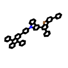 C1=C(c2ccccc2)CCc2sc3c(-c4ccc5c(c4)c4ccccc4n5-c4ccc(-c5ccc6c(-c7ccccc7)c7ccccc7c(-c7ccccc7)c6c5)cc4)cc(-c4ccccc4)cc3c21